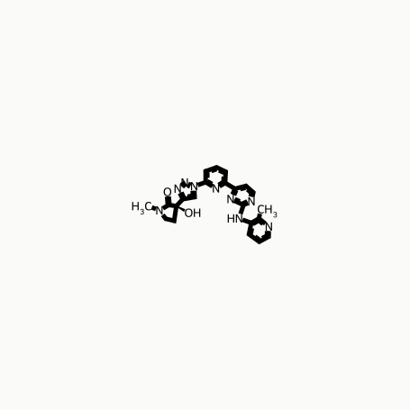 Cc1ncccc1Nc1nccc(-c2cccc(-n3cc([C@]4(O)CCN(C)C4=O)nn3)n2)n1